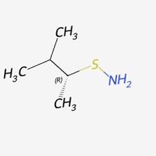 CC(C)[C@@H](C)SN